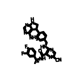 C[C@H](NC(=O)c1nc(C#N)cnc1NCc1ccc(C2CNc3ncnc(N)c32)cc1)c1ccc(F)c(F)c1